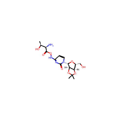 C[C@H](O)[C@@H](N)C(=O)ONc1ccn([C@@H]2O[C@H](CO)[C@H]3OC(C)(C)O[C@H]32)c(=O)n1